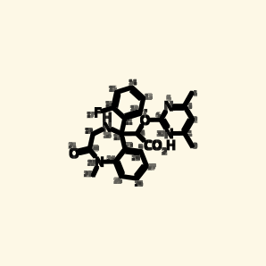 Cc1cc(C)nc(OC(C(=O)O)C2(c3ccccc3F)NCC(=O)N(C)c3ccccc32)n1